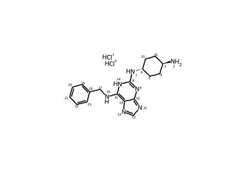 Cl.Cl.N[C@H]1CC[C@H](Nc2nc3ncnc-3c(NCc3ccccc3)[nH]2)CC1